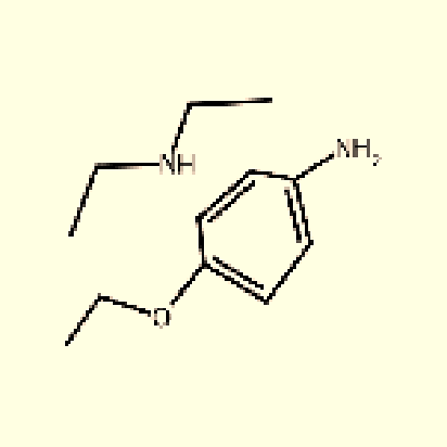 CCNCC.CCOc1ccc(N)cc1